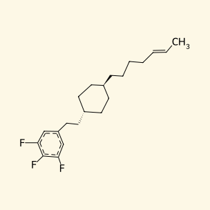 C/C=C/CCCC[C@H]1CC[C@H](CCc2cc(F)c(F)c(F)c2)CC1